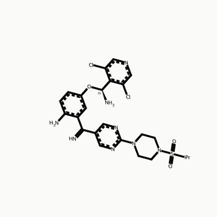 CC(C)S(=O)(=O)N1CCN(c2ncc(C(=N)c3cc(O[C@H](N)c4c(Cl)cncc4Cl)ccc3N)cn2)CC1